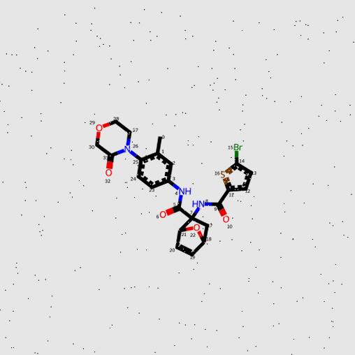 Cc1cc(NC(=O)C2(NC(=O)c3ccc(Br)s3)CC3C=CC2O3)ccc1N1CCOCC1=O